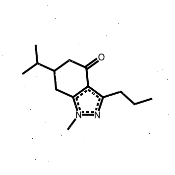 CCCc1nn(C)c2c1C(=O)CC(C(C)C)C2